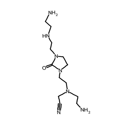 N#CCN(CCN)CCN1CCN(CCNCCN)C1=O